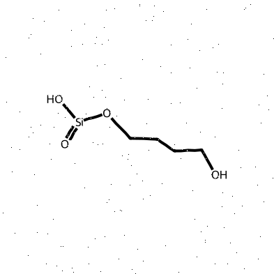 O=[Si](O)OCCCCO